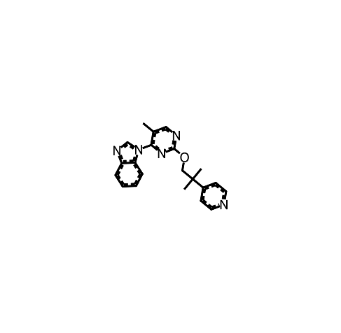 Cc1cnc(OCC(C)(C)c2ccncc2)nc1-n1cnc2ccccc21